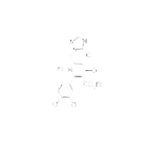 CCOC(=O)c1c(-c2ccc(Cl)c(Cl)c2)n(CC)c(Cn2ncnc2Cl)cc1=O